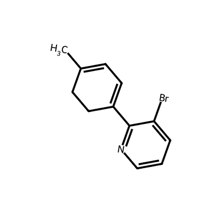 CC1=CC=C(c2ncccc2Br)CC1